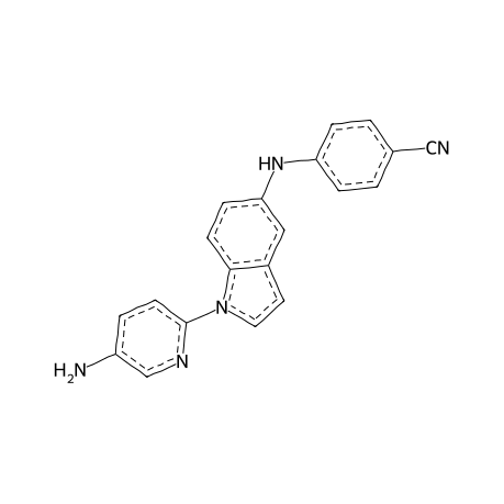 N#Cc1ccc(Nc2ccc3c(ccn3-c3ccc(N)cn3)c2)cc1